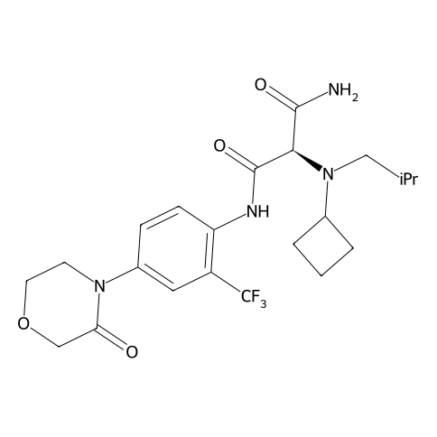 CC(C)CN(C1CCC1)[C@H](C(N)=O)C(=O)Nc1ccc(N2CCOCC2=O)cc1C(F)(F)F